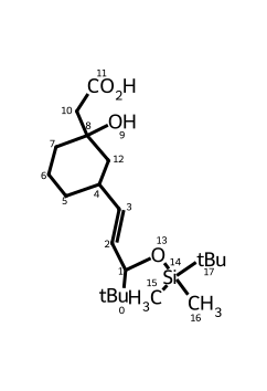 CC(C)(C)C(/C=C/C1CCCC(O)(CC(=O)O)C1)O[Si](C)(C)C(C)(C)C